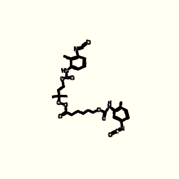 Cc1ccc(N=C=O)cc1NC(=O)OCCCCCC(=O)OOC(C)(C)CCOC(=O)Nc1cccc(N=C=O)c1C